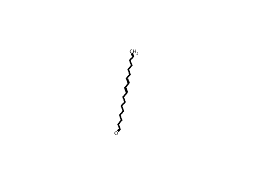 C=CCCCCC=CC=CCCCCCCCC=O